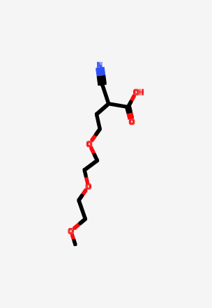 COCCOCCOCCC(C#N)C(=O)O